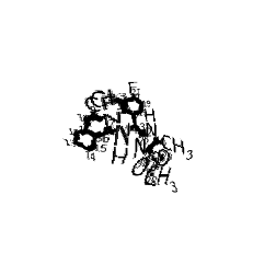 Cc1[nH]c(C(Nc2nc(C(F)(F)F)cc3ccccc23)c2ccc(F)c(Cl)c2)nc1S(C)(=O)=O